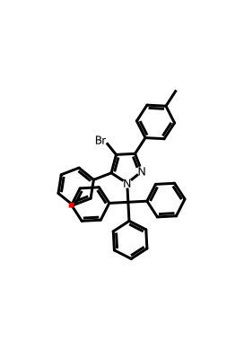 Cc1ccc(-c2nn(C(c3ccccc3)(c3ccccc3)c3ccccc3)c(-c3ccccc3)c2Br)cc1